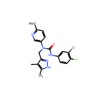 COc1ccc(N(Cc2n[nH]c(C(F)(F)F)c2C)C(=O)Nc2ccc(F)c(Cl)c2)cn1